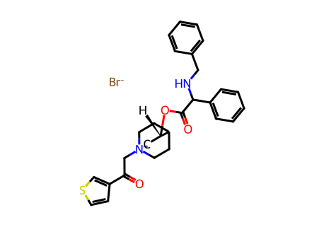 O=C(C[N+]12CCC(CC1)[C@@H](OC(=O)C(NCc1ccccc1)c1ccccc1)C2)c1ccsc1.[Br-]